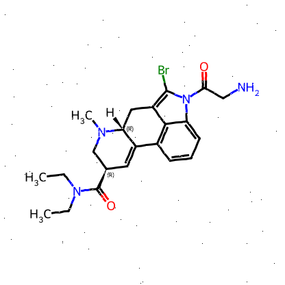 CCN(CC)C(=O)[C@@H]1C=C2c3cccc4c3c(c(Br)n4C(=O)CN)C[C@H]2N(C)C1